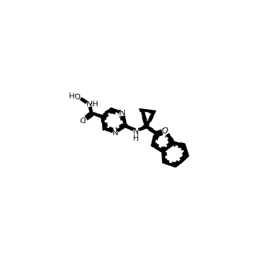 O=C(NO)c1cnc(NC2(c3cc4ccccc4o3)CC2)nc1